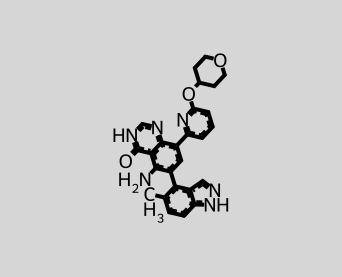 Cc1ccc2[nH]ncc2c1-c1cc(-c2cccc(OC3CCOCC3)n2)c2nc[nH]c(=O)c2c1N